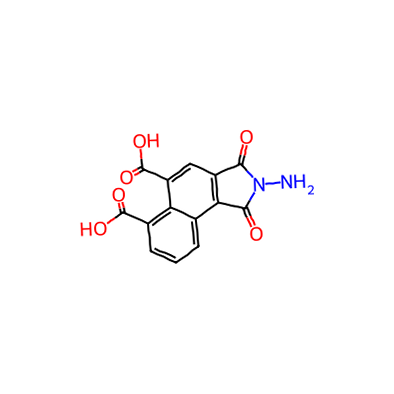 NN1C(=O)c2cc(C(=O)O)c3c(C(=O)O)cccc3c2C1=O